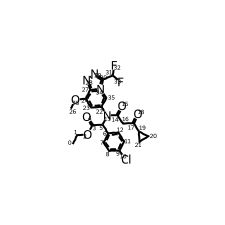 CCOC(=O)C(c1ccc(Cl)cc1)N(C(=O)CC(=O)C1CC1)c1cc(OC)c2nnc(C(F)F)n2c1